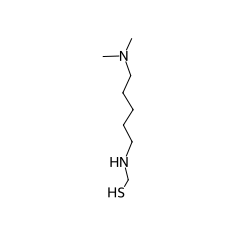 CN(C)CCCCCNCS